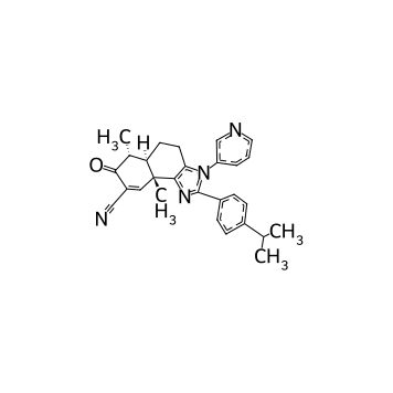 CC(C)c1ccc(-c2nc3c(n2-c2cccnc2)CC[C@@H]2[C@@H](C)C(=O)C(C#N)=C[C@@]32C)cc1